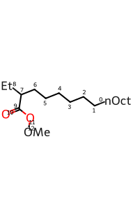 CCCCCCCCCCCCCCC(CC)C(=O)OOC